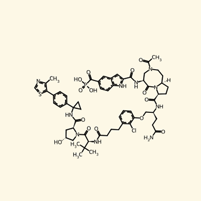 CC(=O)N1CC[C@H]2CC[C@@H](C(=O)N[C@@H](CCC(N)=O)COc3cccc(CCCC(=O)N[C@H](C(=O)N4C[C@H](O)C[C@H]4C(=O)NC4(c5ccc(-c6scnc6C)cc5)CC4)C(C)(C)C)c3Cl)N2C(=O)[C@@H](NC(=O)c2cc3cc(C(=O)P(=O)(O)O)ccc3[nH]2)C1